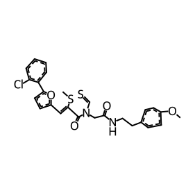 COc1ccc(CCNC(=O)CN(C=S)C(=O)/C(=C/c2ccc(-c3ccccc3Cl)o2)SC)cc1